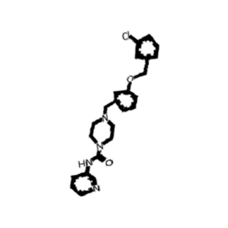 O=C(Nc1cccnc1)N1CCN(Cc2cccc(OCc3cccc(Cl)c3)c2)CC1